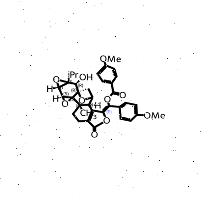 COc1ccc(C(=O)O/C(=C2/OC(=O)C3=C2[C@@H]2C4C[C@@]5(O4)[C@H](O)[C@@]4(C(C)C)O[C@H]4[C@@H]4O[C@@]45[C@@]2(C)CC3)c2ccc(OC)cc2)cc1